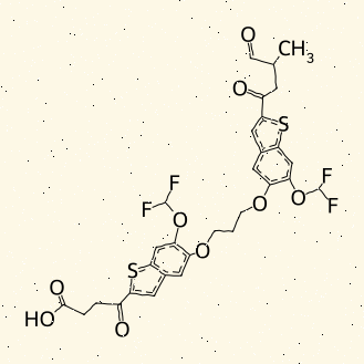 CC(C=O)CC(=O)c1cc2cc(OCCCOc3cc4cc(C(=O)CCC(=O)O)sc4cc3OC(F)F)c(OC(F)F)cc2s1